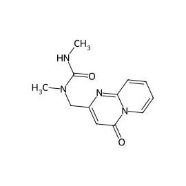 CNC(=O)N(C)Cc1cc(=O)n2ccccc2n1